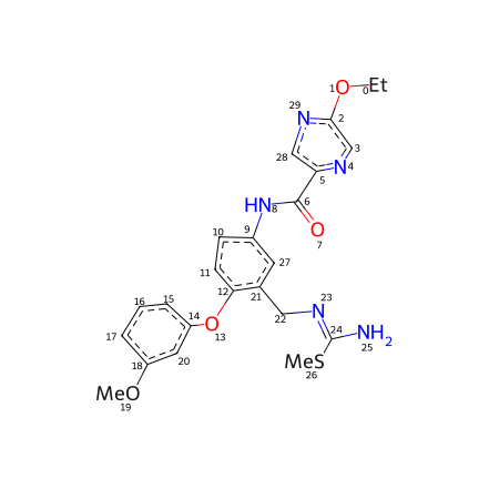 CCOc1cnc(C(=O)Nc2ccc(Oc3cccc(OC)c3)c(C/N=C(/N)SC)c2)cn1